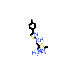 C=C(NC)S/C(=C\N)CNc1nc(-c2ccc(C)cc2)cs1